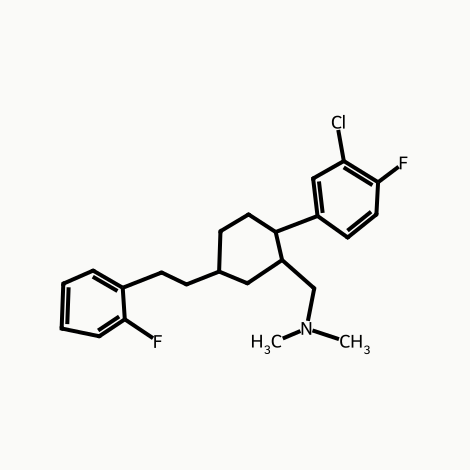 CN(C)CC1CC(CCc2ccccc2F)CCC1c1ccc(F)c(Cl)c1